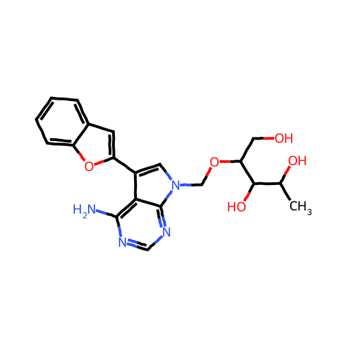 CC(O)C(O)C(CO)OCn1cc(-c2cc3ccccc3o2)c2c(N)ncnc21